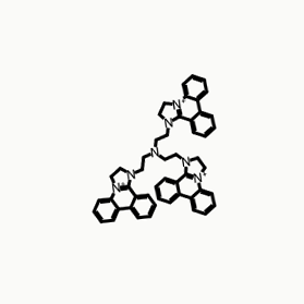 c1ccc2c(c1)c1[n+](c3ccccc23)CCN1CCN(CCN1CC[n+]2c1c1ccccc1c1ccccc12)CCN1CC[n+]2c1c1ccccc1c1ccccc12